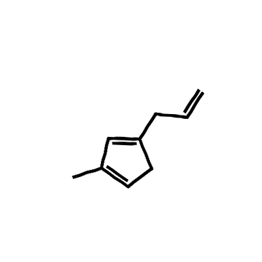 C=CCC1=CC(C)=CC1